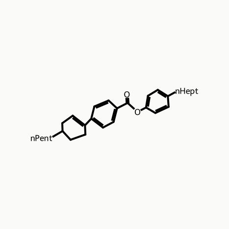 CCCCCCCc1ccc(OC(=O)c2ccc(C3=CCC(CCCCC)CC3)cc2)cc1